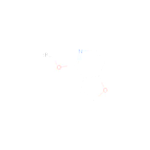 CC(C)(C)OC1=NC=CC2OC=CC12